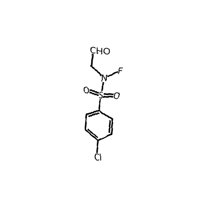 O=CCN(F)S(=O)(=O)c1ccc(Cl)cc1